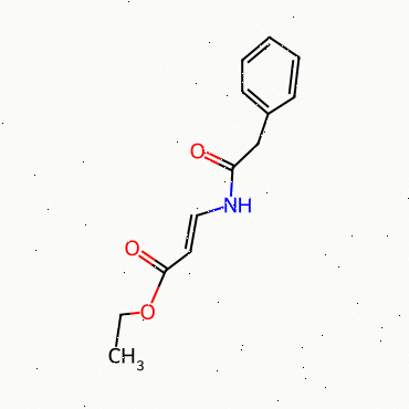 CCOC(=O)/C=C/NC(=O)Cc1ccccc1